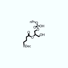 CCCCCCCCCCCCCC(=O)OC(CO)COP(=O)(O)OCCC